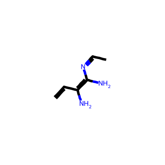 C=C/C(N)=C(N)\N=C/C